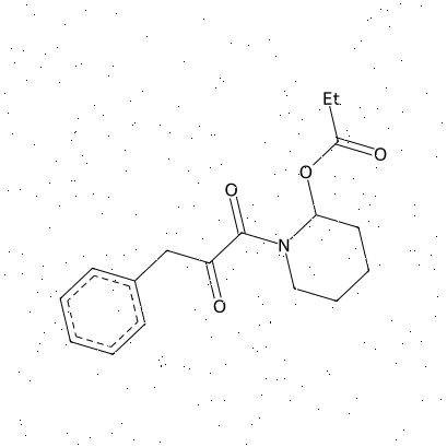 CCC(=O)OC1CCCCN1C(=O)C(=O)Cc1ccccc1